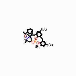 CC(ON1C(C)(C)CC(OP2Oc3c(cc(C(C)(C)C)cc3C(C)(C)C)Cc3cc(C(C)(C)C)cc(C(C)(C)C)c3O2)CC1(C)C)c1ccccc1